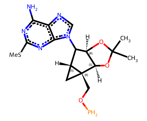 CSc1nc(N)c2ncn(C3[C@H]4OC(C)(C)O[C@H]4[C@]4(COP)C[C@H]34)c2n1